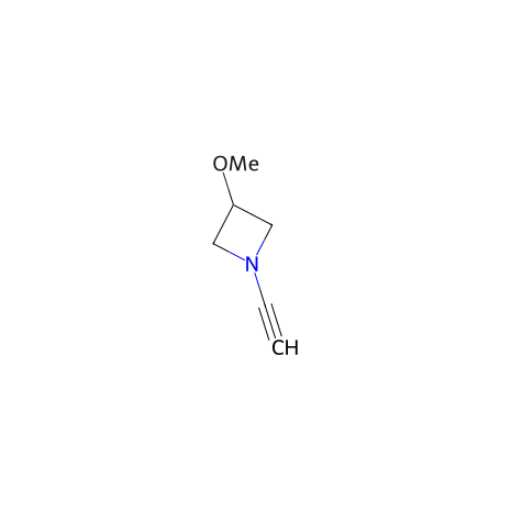 C#CN1CC(OC)C1